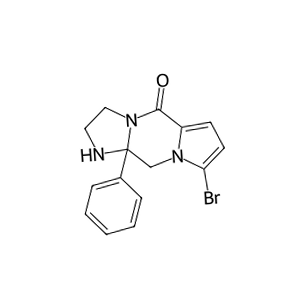 O=C1c2ccc(Br)n2CC2(c3ccccc3)NCCN12